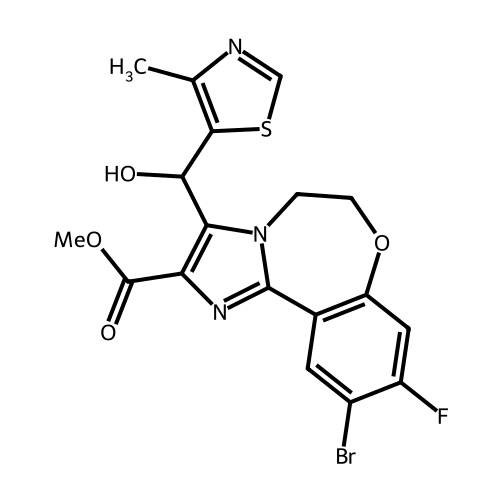 COC(=O)c1nc2n(c1C(O)c1scnc1C)CCOc1cc(F)c(Br)cc1-2